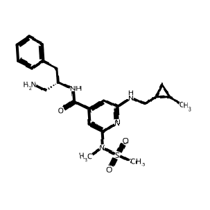 CC1CC1CNc1cc(C(=O)N[C@H](CN)Cc2ccccc2)cc(N(C)S(C)(=O)=O)n1